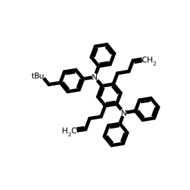 C=CCCc1cc(N(c2ccccc2)c2ccc(CC(C)(C)C)cc2)c(CCC=C)cc1N(c1ccccc1)c1ccccc1